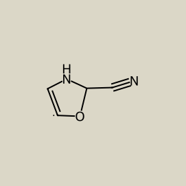 N#CC1NC=[C]O1